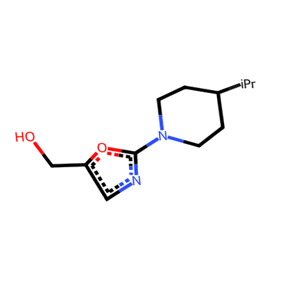 CC(C)C1CCN(c2ncc(CO)o2)CC1